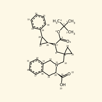 CC(C)(C)OC(=O)N(CC1(CN2Cc3ccccc3C[C@@H]2C(=O)O)CC1)[C@H]1CC1c1ccccc1